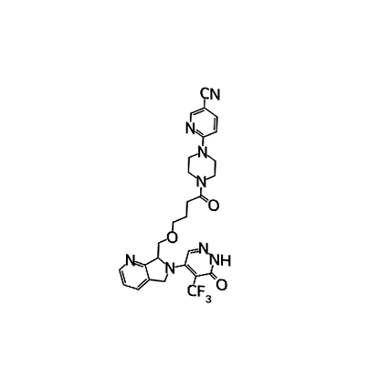 N#Cc1ccc(N2CCN(C(=O)CCCOCC3c4ncccc4CN3c3cn[nH]c(=O)c3C(F)(F)F)CC2)nc1